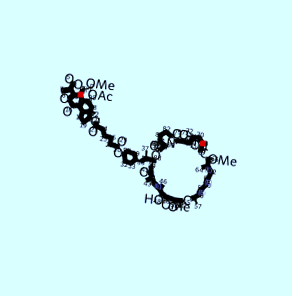 COC[C@H]1OC(=O)c2coc3c2[C@@]1(C)C1=C(C3=O)C2CC[C@H](OC(=O)CCCCC(=O)O[C@H]3CC[C@H](C[C@@H](C)[C@@H]4CC(=O)C(C)/C=C(\C)[C@@H](O)[C@@H](OC)C(=O)[C@H](C)C[C@H](C)/C=C/C=C/C=C(\C)[C@@H](OC)C[C@@H]5CC[C@@H](C)[C@@](O)(O5)C(=O)C(=O)N5CCCC[C@H]5C(=O)O4)CC3)[C@@]2(C)C[C@H]1OC(C)=O